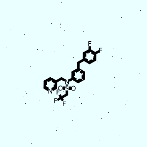 O=S(=O)(CC(F)(F)F)N(Cc1cccnc1)c1cccc(Cc2ccc(F)c(F)c2)c1